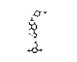 Cc1c(-c2cc(NC(=O)Cc3cc(C(F)(F)F)ccc3C(F)(F)F)nn2C)ccc2nc(NC3CCC(NC(=O)O)CC3)ncc12